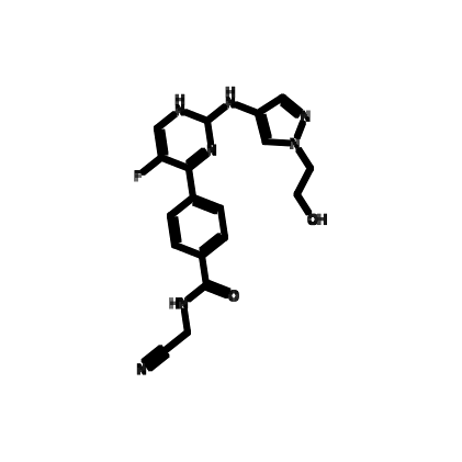 N#CCNC(=O)c1ccc(C2=NC(Nc3cnn(CCO)c3)NC=C2F)cc1